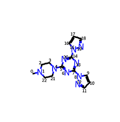 CN1CCN(c2nc(-n3cccn3)nc(-n3cccn3)n2)CC1